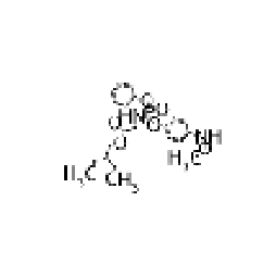 CCC(CC)COC(=O)CNP(=O)(Oc1ccccc1)Oc1ccc(NOC)cc1